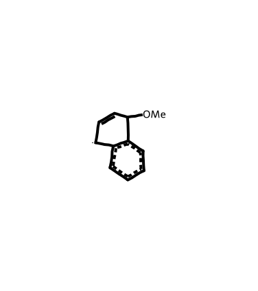 COC1C=C[CH]c2ccccc21